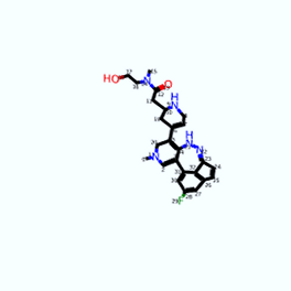 CN1C=C2C(=C(C3=CCNC(CC(=O)N(C)CCO)C3)C1)NN=C1C=Cc3cc(F)cc2c31